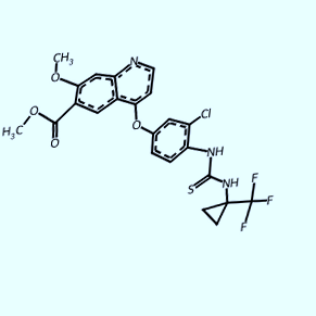 COC(=O)c1cc2c(Oc3ccc(NC(=S)NC4(C(F)(F)F)CC4)c(Cl)c3)ccnc2cc1OC